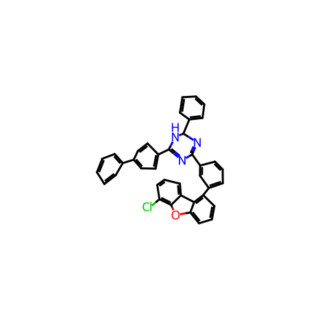 Clc1cccc2c1oc1cccc(-c3cccc(C4=NC(c5ccccc5)NC(c5ccc(-c6ccccc6)cc5)=N4)c3)c12